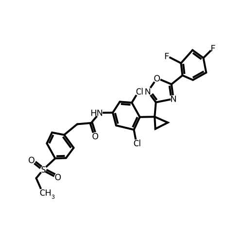 CCS(=O)(=O)c1ccc(CC(=O)Nc2cc(Cl)c(C3(c4noc(-c5ccc(F)cc5F)n4)CC3)c(Cl)c2)cc1